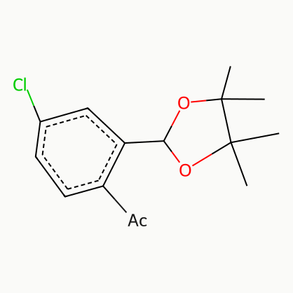 CC(=O)c1ccc(Cl)cc1C1OC(C)(C)C(C)(C)O1